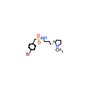 CN1CCC[C@H]1CCCNS(=O)(=O)Cc1ccc(Br)cc1